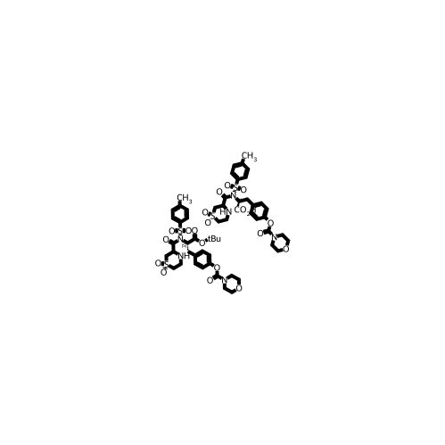 Cc1ccc(S(=O)(=O)N(C(=O)C2CS(=O)(=O)CCN2)[C@@H](Cc2ccc(OC(=O)N3CCOCC3)cc2)C(=O)O)cc1.Cc1ccc(S(=O)(=O)N(C(=O)C2CS(=O)(=O)CCN2)[C@@H](Cc2ccc(OC(=O)N3CCOCC3)cc2)C(=O)OC(C)(C)C)cc1